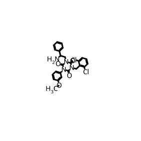 COc1cccc(-n2c(=O)n(Cc3c(Cl)cccc3Cl)c(=O)n(CC(N)c3ccccc3)c2=O)c1